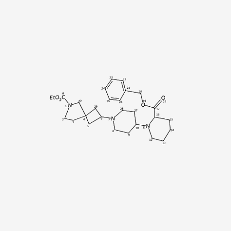 CCOC(=O)N1CCC2(CC(N3CCC(N4CCCCC4C(=O)OCc4ccccc4)CC3)C2)C1